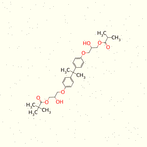 CC(C)C(=O)OCC(O)COc1ccc(C(C)(C)c2ccc(OCC(O)COC(=O)C(C)(C)C)cc2)cc1